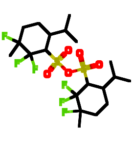 CC(C)C1CCC(C)(F)C(F)(F)C1S(=O)(=O)OS(=O)(=O)C1C(C(C)C)CCC(C)(F)C1(F)F